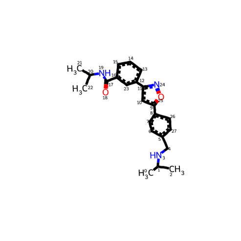 CC(C)NCc1ccc(-c2cc(-c3cccc(C(=O)NC(C)C)c3)no2)cc1